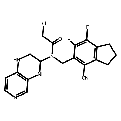 N#Cc1c(CN(C(=O)CCl)C2CNc3ccncc3N2)c(F)c(F)c2c1CCC2